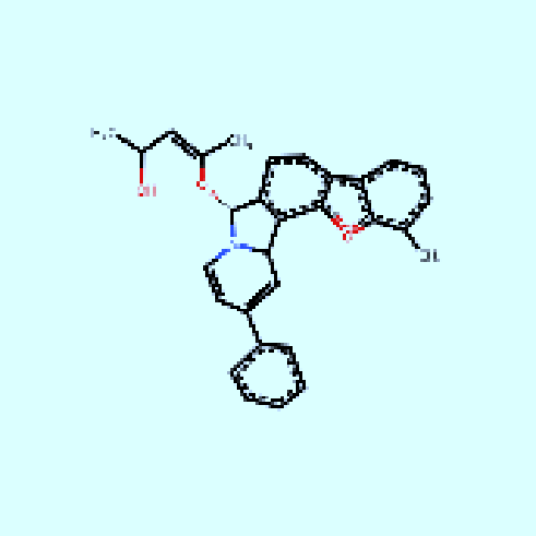 C/C(=C/C(C)O)O[C@@H]1c2ccc3c(oc4c(C)cccc43)c2C2C=C(c3ccccc3)C=CN21